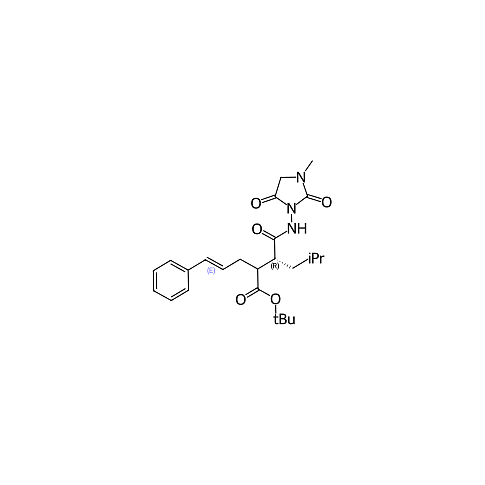 CC(C)C[C@@H](C(=O)NN1C(=O)CN(C)C1=O)C(C/C=C/c1ccccc1)C(=O)OC(C)(C)C